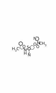 CC(CC(=O)Nc1sc2c(c1C#N)CCC(OC(=O)N(C)c1cccnc1)C2)c1ccccc1